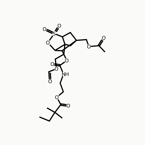 CCC(C)(C)C(=O)OCCNC(=O)OC1C2OS(=O)(=O)C3CC1(COC(C)=O)CC23CCOC=O